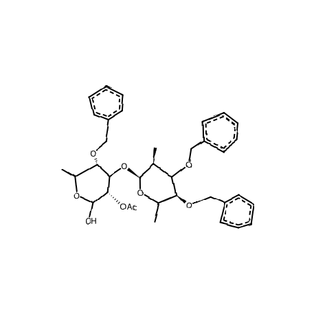 CC(=O)O[C@@H]1C(O)OC(C)[C@H](OCc2ccccc2)C1O[C@@H]1OC(C)[C@H](OCc2ccccc2)C(OCc2ccccc2)[C@@H]1C